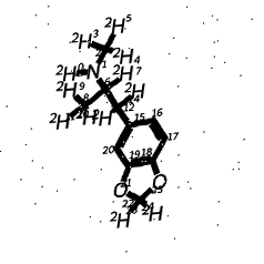 [2H]N(C([2H])([2H])[2H])C([2H])(C([2H])([2H])[2H])C([2H])([2H])c1ccc2c(c1)OC([2H])([2H])O2